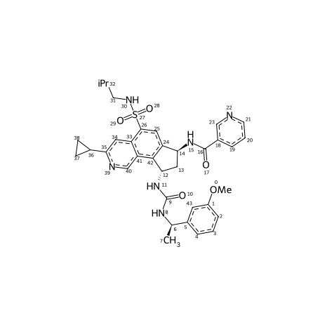 COc1cccc([C@@H](C)NC(=O)N[C@H]2C[C@H](NC(=O)c3cccnc3)c3cc(S(=O)(=O)NCC(C)C)c4cc(C5CC5)ncc4c32)c1